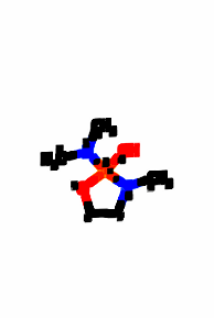 CN(C)[P]1(O)OCCN1C